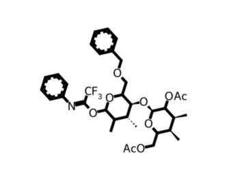 CC(=O)OCC1O[C@@H](O[C@@H]2C(COCc3ccccc3)OC(O/C(=N/c3ccccc3)C(F)(F)F)C(C)[C@H]2C)C(OC(C)=O)[C@@H](C)[C@H]1C